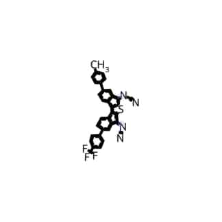 Cc1ccc(-c2ccc3c(c2)/c(=N/C#N)c2sc4/c(=N/C#N)c5cc(-c6ccc(C(F)(F)F)cc6)ccc5c4c23)cc1